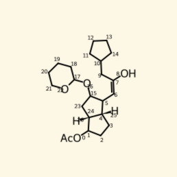 CC(=O)OC1CC[C@H]2C(/C=C(/O)CC3CCCC3)C(OC3CCCCO3)C[C@@H]12